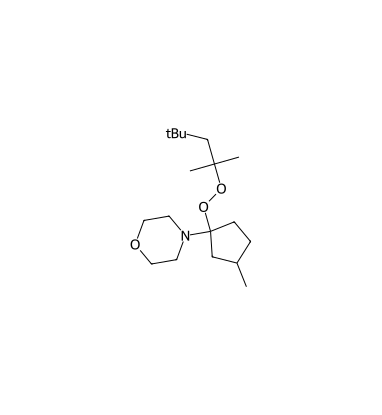 CC1CCC(OOC(C)(C)CC(C)(C)C)(N2CCOCC2)C1